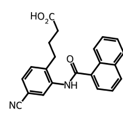 N#Cc1ccc(CCCC(=O)O)c(NC(=O)c2cccc3ccccc23)c1